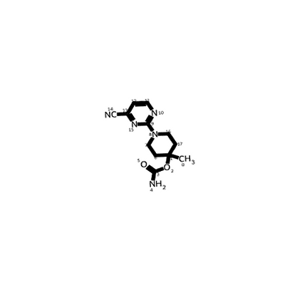 CC1(OC(N)=O)CCN(c2nccc(C#N)n2)CC1